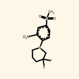 CS(=O)(=O)c1ccc(N2CCCC(F)(F)C2)c([N+](=O)[O-])c1